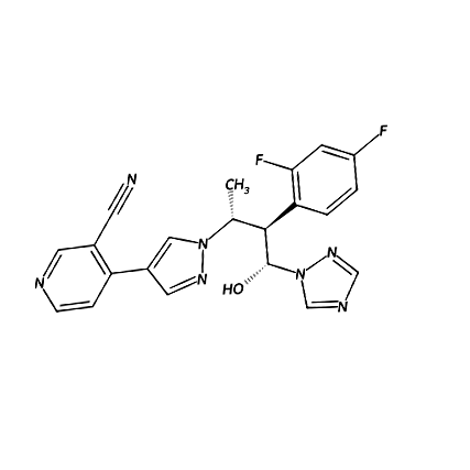 C[C@H]([C@@H](c1ccc(F)cc1F)[C@@H](O)n1cncn1)n1cc(-c2ccncc2C#N)cn1